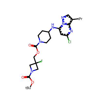 CC(C)c1cnn2c(NC3CCN(C(=O)OCC4(F)CN(C(=O)OC(C)(C)C)C4)CC3)cc(Cl)nc12